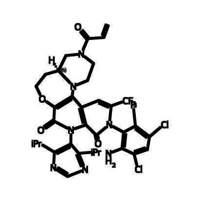 C=CC(=O)N1CCN2c3c(c(=O)n(-c4c(C(C)C)ncnc4C(C)C)c4c(=O)n(-c5c(N)c(Cl)cc(Cl)c5F)c(C(F)(F)F)cc34)OCC[C@H]2C1